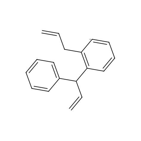 C=CCc1[c]cccc1C(C=C)c1ccccc1